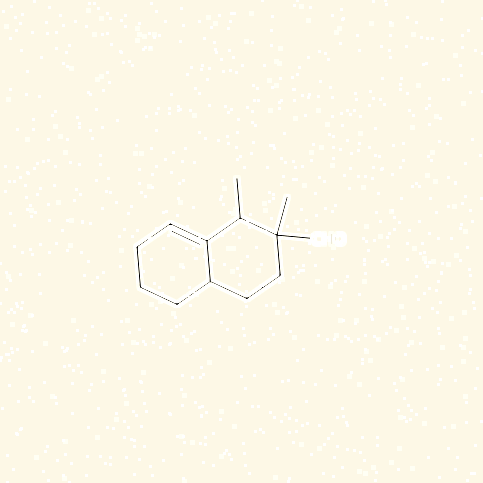 CC1C2=CCCCC2CCC1(C)C=O